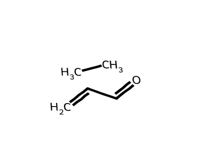 C=CC=O.CC